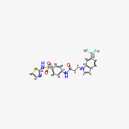 O=C(CCn1ccc2ccc(C(F)F)cc21)Nc1ccc(S(=O)(=O)Nc2nccs2)cc1